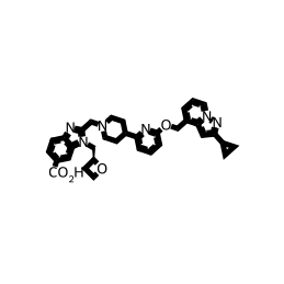 O=C(O)c1ccc2nc(CN3CCC(c4cccc(OCc5cccn6nc(C7CC7)cc56)n4)CC3)n(C[C@@H]3CCO3)c2c1